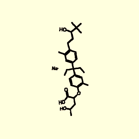 CCC(CC)(c1ccc(CCC(O)C(C)(C)C)c(C)c1)c1ccc(OC(C[C@@H](C)O)C(=O)O)c(C)c1.[Na]